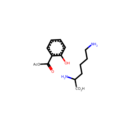 CC(=O)OC(=O)c1ccccc1O.NCCCCC(N)C(=O)O